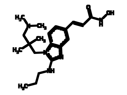 CCCNc1nc2cc(C=CC(=O)NO)ccc2n1CC(C)(C)CN(C)C